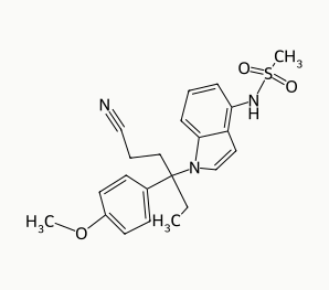 CCC(CCC#N)(c1ccc(OC)cc1)n1ccc2c(NS(C)(=O)=O)cccc21